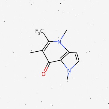 Cc1c(C(F)(F)F)n(C)c2ccn(C)c2c1=O